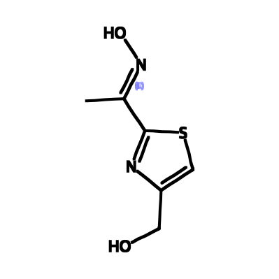 C/C(=N\O)c1nc(CO)cs1